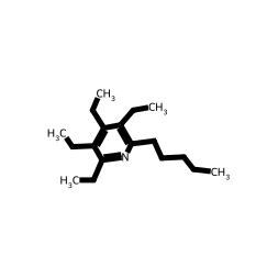 CCCCCc1nc(CC)c(CC)c(CC)c1CC